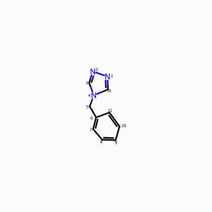 [c]1nncn1Cc1ccccc1